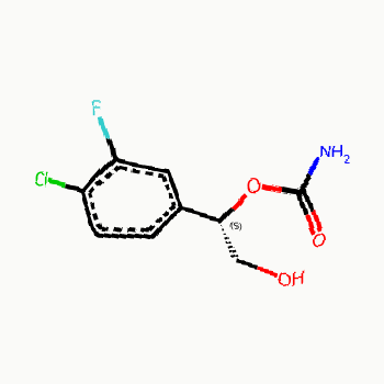 NC(=O)O[C@H](CO)c1ccc(Cl)c(F)c1